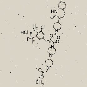 CCOC(=O)CN1CCC(N2CCN(C(=O)[C@@H](Cc3cc(Cl)c(N)c(C(F)(F)F)c3)OC(=O)N3CCC(N4CCc5ccccc5NC4=O)CC3)CC2)CC1.Cl